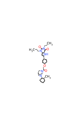 CCCn1c(=O)c2[nH]c(-c3ccc(OCC(=O)N4CC5CC4N(c4ccccc4C)C5)cc3)cc2n(CCC)c1=O